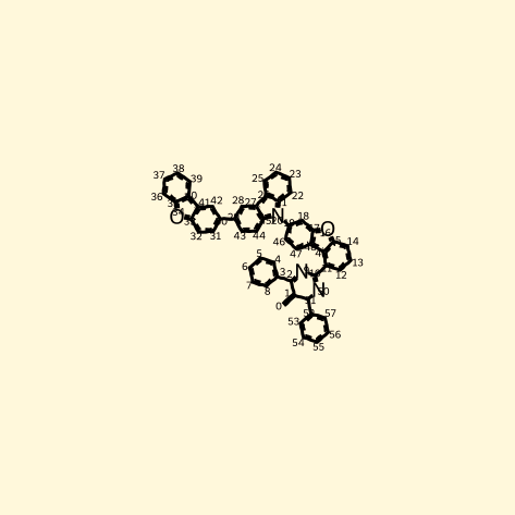 C=C1C(c2ccccc2)=NC(c2cccc3oc4cc(-n5c6ccccc6c6cc(-c7ccc8oc9ccccc9c8c7)ccc65)ccc4c23)=NC1c1ccccc1